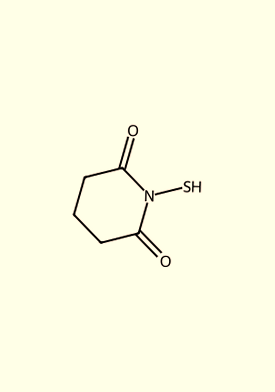 O=C1CCCC(=O)N1S